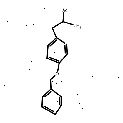 CC(=O)C(C)Cc1ccc(OCc2ccccc2)cc1